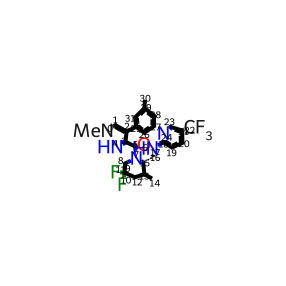 CN/C=C(\C(=N)C(=O)N1CC(F)(F)CC(C)[C@H]1CNc1ccc(C(F)(F)F)cn1)c1cccc(C)c1